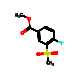 COC(=O)c1ccc(F)c(S(C)(=O)=O)c1